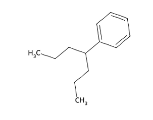 CCCC(CCC)c1ccccc1